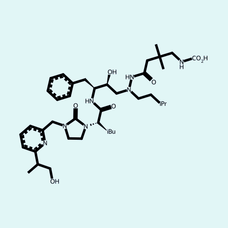 CC[C@H](C)[C@@H](C(=O)N[C@@H](Cc1ccccc1)[C@@H](O)CN(CCC(C)C)NC(=O)CC(C)(C)CNC(=O)O)N1CCN(Cc2cccc(C(C)CO)n2)C1=O